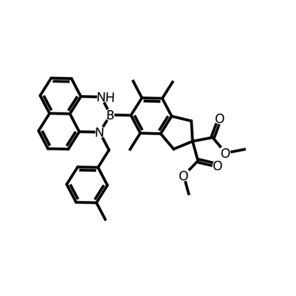 COC(=O)C1(C(=O)OC)Cc2c(C)c(C)c(B3Nc4cccc5cccc(c45)N3Cc3cccc(C)c3)c(C)c2C1